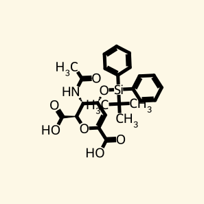 CC(=O)N[C@@H]1[C@H](O[Si](c2ccccc2)(c2ccccc2)C(C)(C)C)C=C(C(=O)O)O[C@H]1C(=O)O